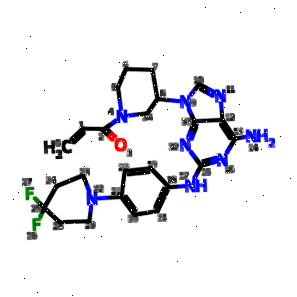 C=CC(=O)N1CCCC(n2cnc3c(N)nc(Nc4ccc(N5CCC(F)(F)CC5)cc4)nc32)C1